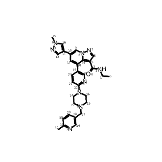 CCNC(=O)c1cnn2cc(-c3cnn(C)c3)cc(-c3ccc(N4CCN(Cc5ccc(C)nc5)CC4)nc3)c12